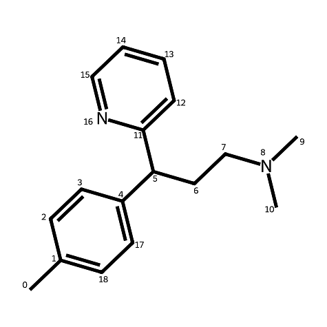 Cc1ccc(C(CCN(C)C)c2ccccn2)cc1